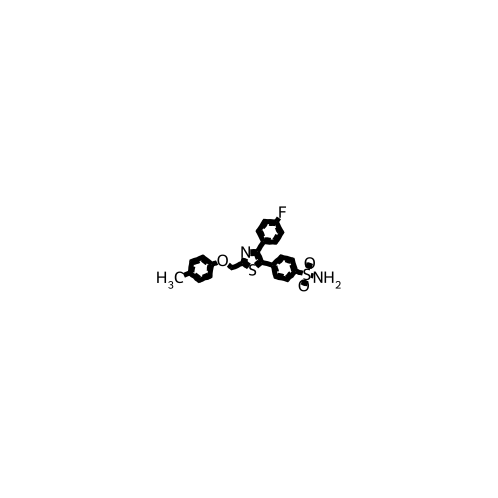 Cc1ccc(OCc2nc(-c3ccc(F)cc3)c(-c3ccc(S(N)(=O)=O)cc3)s2)cc1